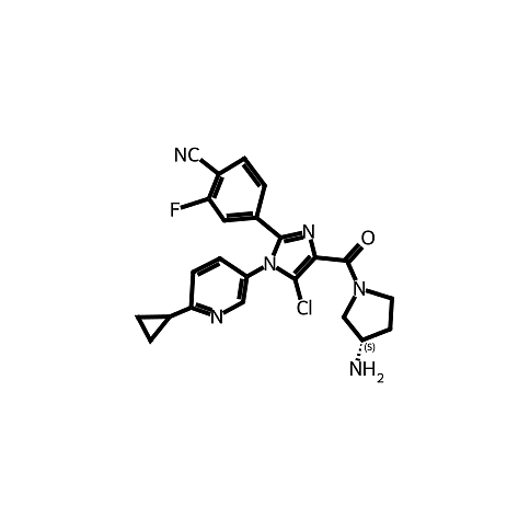 N#Cc1ccc(-c2nc(C(=O)N3CC[C@H](N)C3)c(Cl)n2-c2ccc(C3CC3)nc2)cc1F